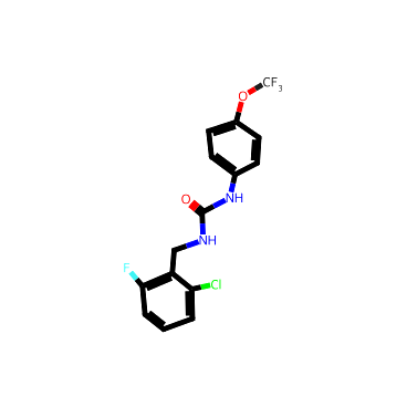 O=C(NCc1c(F)cccc1Cl)Nc1ccc(OC(F)(F)F)cc1